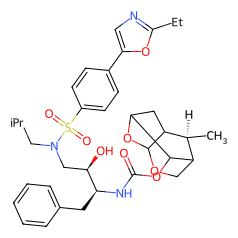 CCc1ncc(-c2ccc(S(=O)(=O)N(CC(C)C)C[C@@H](O)[C@H](Cc3ccccc3)NC(=O)OC3C4CC5C(OCC3[C@@H]5C)O4)cc2)o1